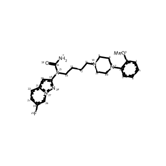 COc1ccccc1N1CCN(CCCCN(C(N)=O)c2cc3ccc(F)cn3n2)CC1